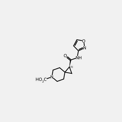 O=C(Nc1ccon1)[C@H]1CC12CCN(C(=O)O)CC2